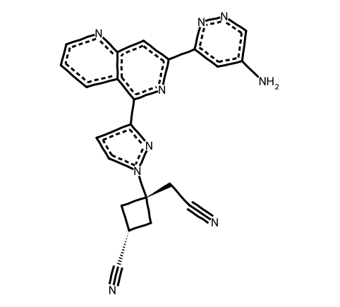 N#CC[C@]1(n2ccc(-c3nc(-c4cc(N)cnn4)cc4ncccc34)n2)C[C@@H](C#N)C1